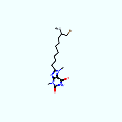 CC(=O)OC(CBr)CCCCCCCc1nc2c(c(=O)[nH]c(=O)n2C)n1C